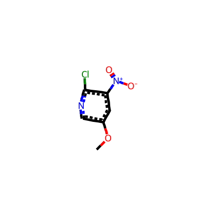 COc1cnc(Cl)c([N+](=O)[O-])c1